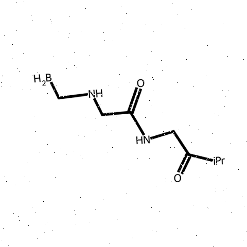 BCNCC(=O)NCC(=O)C(C)C